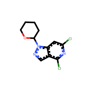 Clc1cc2c(cnn2C2CCCCO2)c(Cl)n1